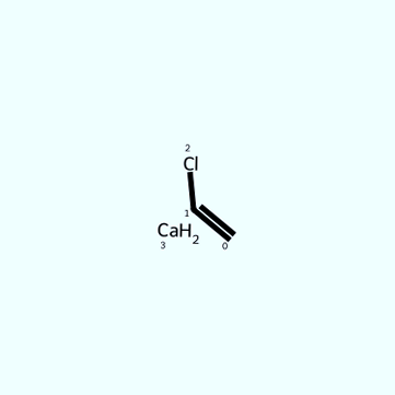 C=CCl.[CaH2]